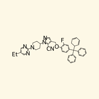 CCc1cnc(N2CCC(n3ncc(COc4ccc(C(c5ccccc5)(c5ccccc5)C5C=CC=CC5)cc4F)c3C#N)CC2)nc1